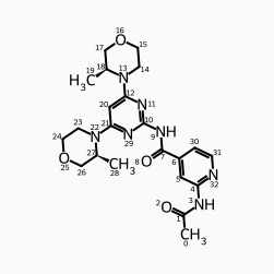 CC(=O)Nc1cc(C(=O)Nc2nc(N3CCOC[C@@H]3C)cc(N3CCOC[C@@H]3C)n2)ccn1